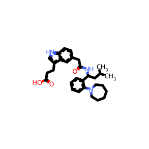 CC(C)CC(NC(=O)Cc1ccc2[nH]cc(CCC(=O)O)c2c1)c1ccccc1N1CCCCCC1